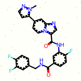 Cn1nccc1-c1ccn2c(C(=O)Nc3cc(C(=O)NCc4ccc(F)c(F)c4)ccc3F)cnc2c1